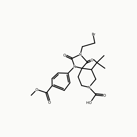 COC(=O)c1ccc(N2C(=O)N(CCBr)C(=O)C23CCN(C(=O)O)CC3C(C)(C)C)cc1